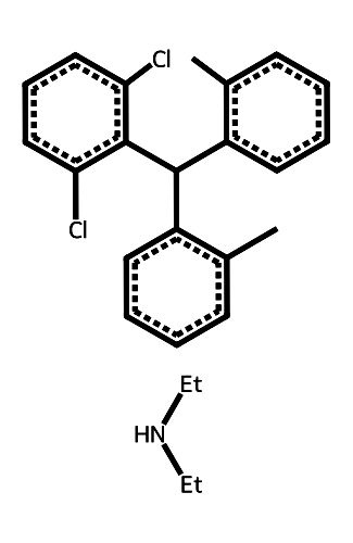 CCNCC.Cc1ccccc1C(c1ccccc1C)c1c(Cl)cccc1Cl